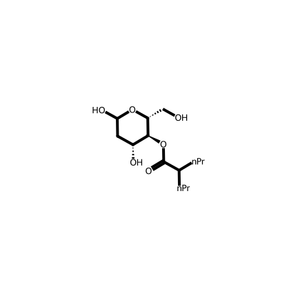 CCCC(CCC)C(=O)O[C@H]1[C@H](O)CC(O)O[C@@H]1CO